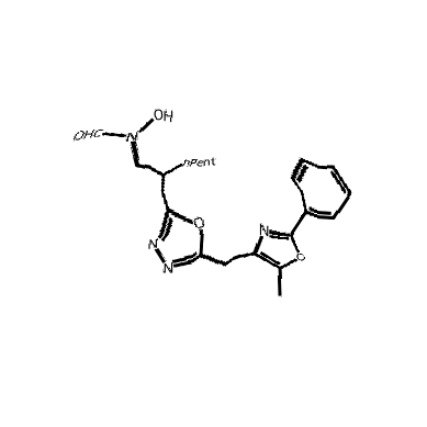 CCCCCC(CN(O)C=O)c1nnc(Cc2nc(-c3ccccc3)oc2C)o1